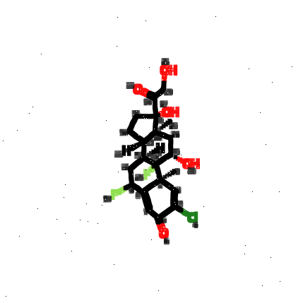 C[C@]12C=C(Cl)C(=O)C=C1[C@@H](F)C[C@H]1[C@@H]3CC[C@](O)(C(=O)CO)[C@@]3(C)C[C@H](O)[C@@]12F